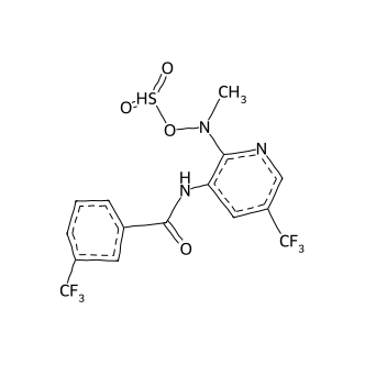 CN(O[SH](=O)=O)c1ncc(C(F)(F)F)cc1NC(=O)c1cccc(C(F)(F)F)c1